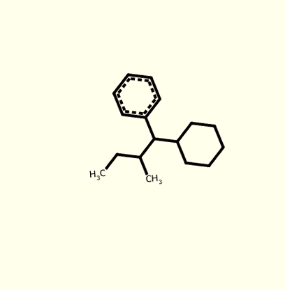 CCC(C)C(c1ccccc1)C1CCCCC1